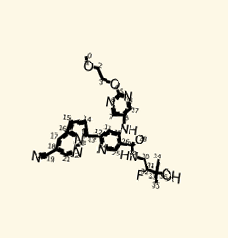 COCCOc1ncc(Nc2cc(-c3ccc4cc(C#N)cnn34)ncc2C(=O)NC[C@@H](F)C(C)(C)O)cn1